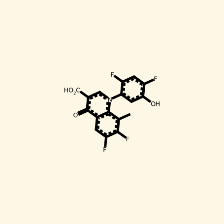 Cc1c(F)c(F)cc2c(=O)c(C(=O)O)cn(-c3cc(O)c(F)cc3F)c12